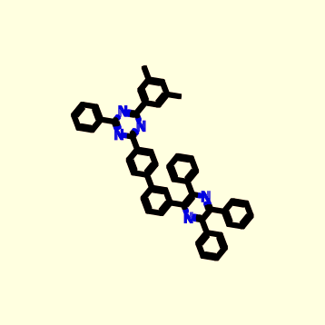 Cc1cc(C)cc(-c2nc(-c3ccccc3)nc(-c3ccc(-c4cccc(-c5nc(-c6ccccc6)c(-c6ccccc6)nc5-c5ccccc5)c4)cc3)n2)c1